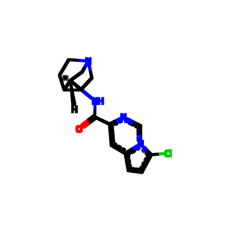 O=C(N[C@H]1CN2CCC1CC2)c1cc2ccc(Cl)n2cn1